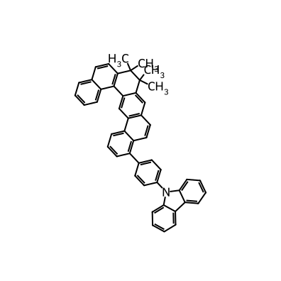 CC1(C)c2cc3ccc4c(-c5ccc(-n6c7ccccc7c7ccccc76)cc5)cccc4c3cc2-c2c(ccc3ccccc23)C1(C)C